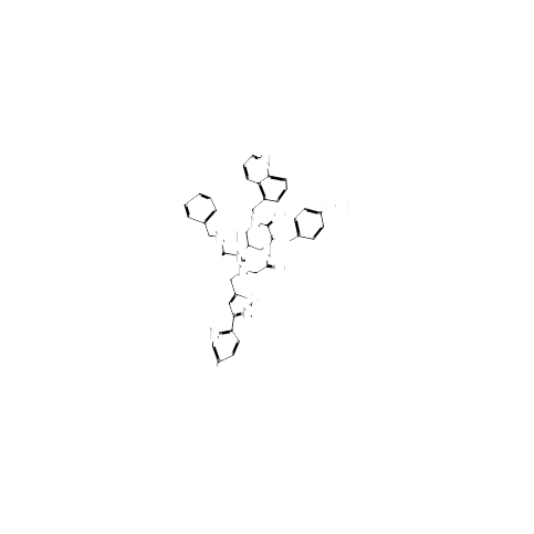 O=C1[C@H](Cc2ccc(O)cc2)N2C(=O)CN(Cc3cc(-c4ccc(F)cn4)no3)N(C(=O)NCc3ccccc3)C2CN1Cc1cccc2ncccc12